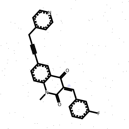 CN1C(=O)/C(=C\c2cccc(F)c2)C(=O)c2cc(C#CCc3ccncc3)ccc21